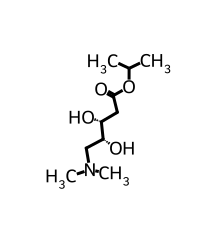 CC(C)OC(=O)C[C@@H](O)[C@H](O)CN(C)C